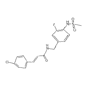 CS(=O)(=O)Nc1ccc(CNC(=O)C=Cc2ccc(Cl)cc2)cc1F